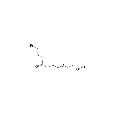 CCOCCOCCCC(=O)OCCC(C)C